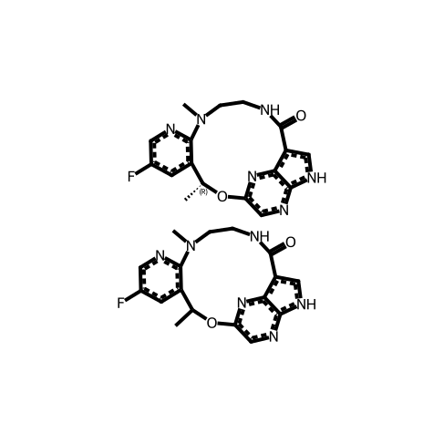 CC1Oc2cnc3[nH]cc(c3n2)C(=O)NCCN(C)c2ncc(F)cc21.C[C@H]1Oc2cnc3[nH]cc(c3n2)C(=O)NCCN(C)c2ncc(F)cc21